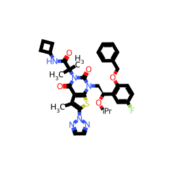 Cc1c(-n2nccn2)sc2c1c(=O)n(C(C)(C)C(=O)NC1CCC1)c(=O)n2C[C@H](OC(C)C)c1cc(F)ccc1OCc1ccccc1